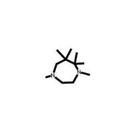 CN1CCN(C)C(C)(C)C(C)(C)C1